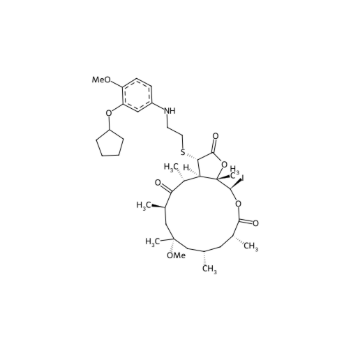 COc1ccc(NCCS[C@@H]2C(=O)O[C@@]3(C)[C@H]2[C@@H](C)C(=O)[C@H](C)C[C@@](C)(OC)C[C@@H](C)C[C@@H](C)C(=O)O[C@@H]3I)cc1OC1CCCC1